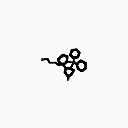 ICCCCCc1ccccc1[P+](c1ccccc1)(c1ccccc1)c1ccccc1.[I-]